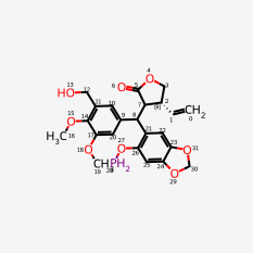 C=C[C@H]1COC(=O)C1C(c1cc(CO)c(OC)c(OC)c1)c1cc2c(cc1OP)OCO2